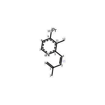 C=C(C)/C=C\c1nccc(C(C)C)c1C